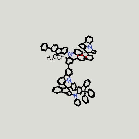 CC1(C)c2cc(-c3ccccc3)ccc2-c2ccc(N(c3ccc4c(c3)-c3ccccc3C43c4ccccc4-n4c5ccccc5c5cccc3c54)c3ccc(-c4ccc5c(c4)c4cccc6c4n5-c4ccccc4C64c5ccccc5-c5ccc(N(c6ccccc6)c6ccc7c(c6)C(c6ccccc6)(c6ccccc6)c6ccccc6-7)cc54)cc3-c3ccccc3)cc21